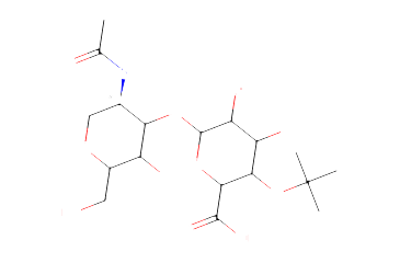 CC(=O)N[C@@H]1COC(CO)C(O)C1OC1OC(C(=O)O)C(OC(C)(C)C)C(O)C1O